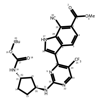 COC(=O)c1ccc2c(-c3nc(N[C@H]4CC[C@H](NC(=O)OC(C)(C)C)C4)ncc3C(F)(F)F)c[nH]c2c1C#N